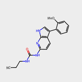 COc1ccccc1-c1c[nH]c2nc(NC(=O)NCCC#N)ccc12